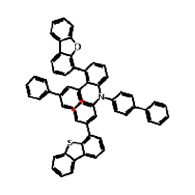 c1ccc(-c2ccc(N(c3cccc(-c4cccc5c4sc4ccccc45)c3)c3cccc(-c4cccc5c4oc4ccccc45)c3-c3cccc(-c4ccccc4)c3)cc2)cc1